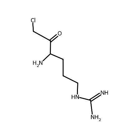 N=C(N)NCCCC(N)C(=O)CCl